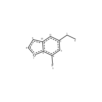 CCc1cc(F)c2occc2c1